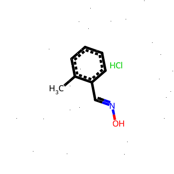 Cc1ccccc1C=NO.Cl